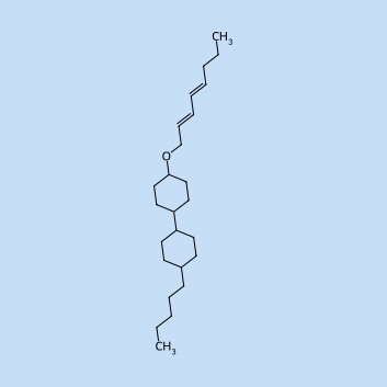 CCCC=CC=CCOC1CCC(C2CCC(CCCCC)CC2)CC1